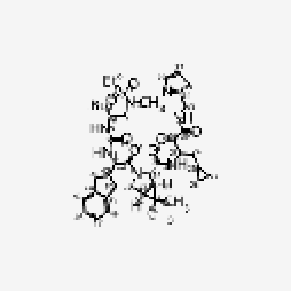 CCS(=O)(=O)N(C)C[C@@H](NC(=O)N[C@H](C(=O)N1C[C@H]2[C@@H]([C@H]1C(=O)NC(CC1CC1)C(=O)C(=O)NCc1nccs1)C2(C)C)C1Cc2ccccc2C1)C(C)(C)C